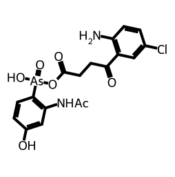 CC(=O)Nc1cc(O)ccc1[As](=O)(O)OC(=O)CCC(=O)c1cc(Cl)ccc1N